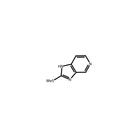 CSc1nc2cnccc2[nH]1